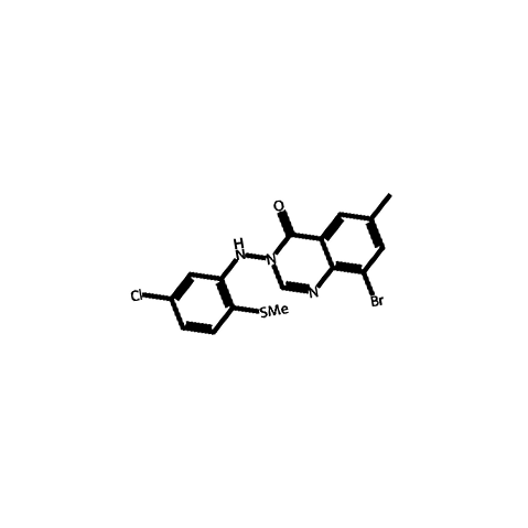 CSc1ccc(Cl)cc1Nn1cnc2c(Br)cc(C)cc2c1=O